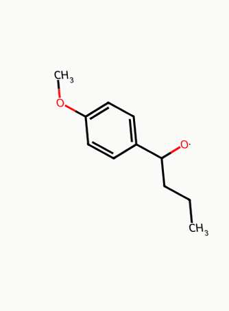 CCCC([O])c1ccc(OC)cc1